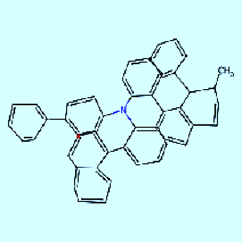 CC1C=Cc2cccc(-c3ccccc3N(c3ccc(-c4ccccc4)cc3)c3ccccc3-c3cccc4ccccc34)c2C1c1ccccc1